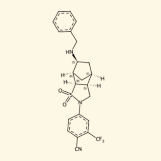 N#Cc1ccc(N2C[C@@H]3[C@H]4C[C@@H]([C@@H]3S2(=O)=O)[C@@H](NCc2ccccc2)C4)cc1C(F)(F)F